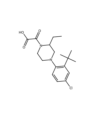 CCC1CN(c2ccc(Cl)cc2C(C)(C)C)CCN1C(=O)C(=O)O